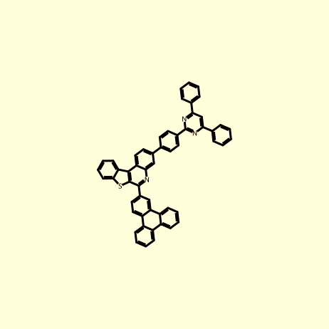 c1ccc(-c2cc(-c3ccccc3)nc(-c3ccc(-c4ccc5c(c4)nc(-c4ccc6c7ccccc7c7ccccc7c6c4)c4sc6ccccc6c45)cc3)n2)cc1